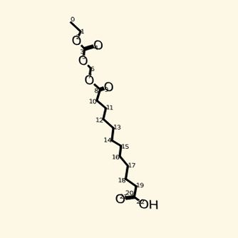 CCOC(=O)OCOC(=O)CCCCCCCCCCC(=O)O